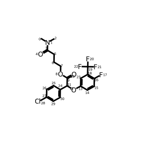 CN(C)C(=O)CCCOC(=O)C(Oc1ccc(F)c(C(F)(F)F)c1)c1ccc(Cl)cc1